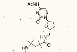 CCCC(C)(C)CC(C)(C)C(=O)NC[C@@H]1CC[C@H](n2ccc(NC(C)=O)nc2=O)O1